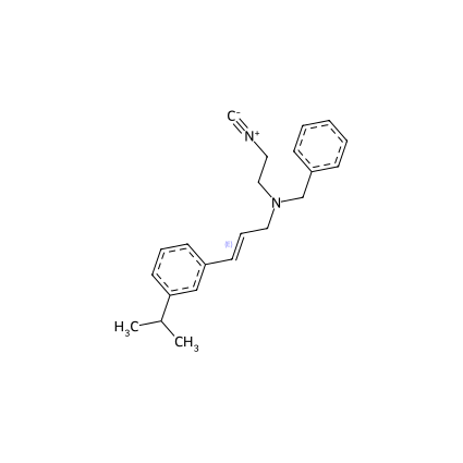 [C-]#[N+]CCN(C/C=C/c1cccc(C(C)C)c1)Cc1ccccc1